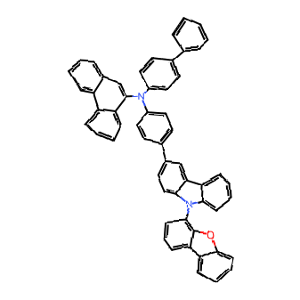 c1ccc(-c2ccc(N(c3ccc(-c4ccc5c(c4)c4ccccc4n5-c4cccc5c4oc4ccccc45)cc3)c3cc4ccccc4c4ccccc34)cc2)cc1